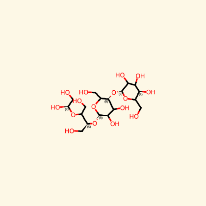 OCC1O[C@H](O[C@H]2C(CO)O[C@@H](O[C@@H](CO)C(CO)O[C@@H](O)CO)C(O)C2O)C(O)C(O)[C@H]1O